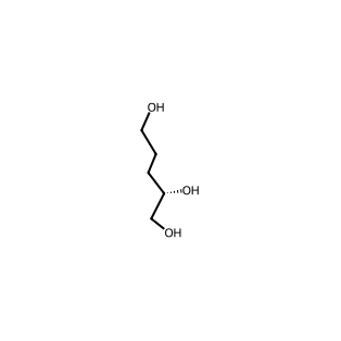 OCCC[C@H](O)CO